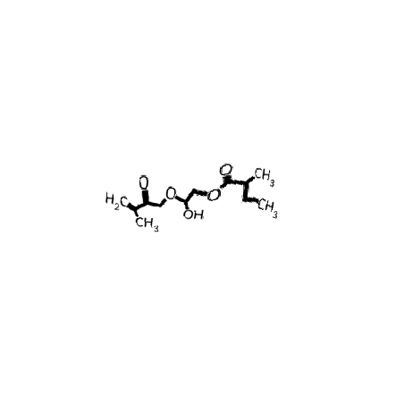 C=C(C)C(=O)COC(O)COC(=O)C(C)CC